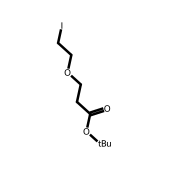 CC(C)(C)OC(=O)CCOCCI